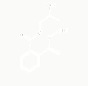 CCCCCCOC(=O)c1ccccc1C(=O)OCC(C)CCCC